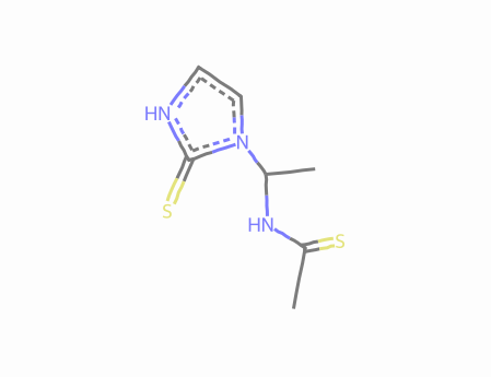 CC(=S)NC(C)n1cc[nH]c1=S